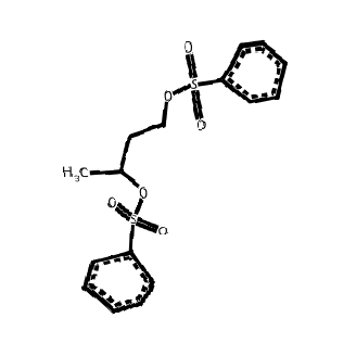 CC(CCOS(=O)(=O)c1ccccc1)OS(=O)(=O)c1ccccc1